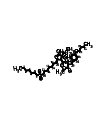 CCCCCCCS(=O)(=O)CCCCCCC=C[C@H](C(=O)N[C@@H](Cc1ccc(OCCCC)cc1)C(=O)OC)[C@@](O)(COC)C(=O)O